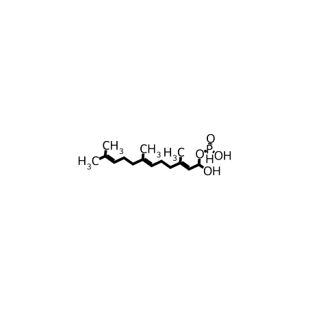 CC(C)=CCC/C(C)=C/CC/C(C)=C/C(O)O[PH](=O)O